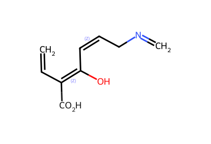 C=C/C(C(=O)O)=C(O)\C=C/CN=C